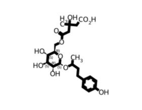 CC(CCc1ccc(O)cc1)O[C@H]1O[C@H](COC(=O)CC(C)(O)CC(=O)O)[C@@H](O)[C@H](O)[C@H]1O